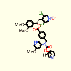 COc1cncc(N(Cc2ccc(C(=O)O[C@@H](Cc3c(Cl)c[n+]([O-])cc3Cl)c3ccc(OC)c(OC)c3)cc2)C(=O)O[C@H]2CN3CCC2CC3)c1